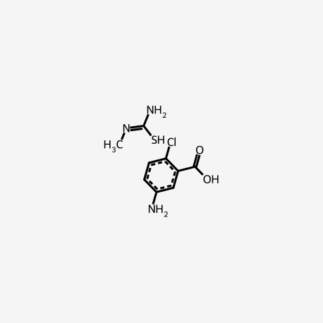 CN=C(N)S.Nc1ccc(Cl)c(C(=O)O)c1